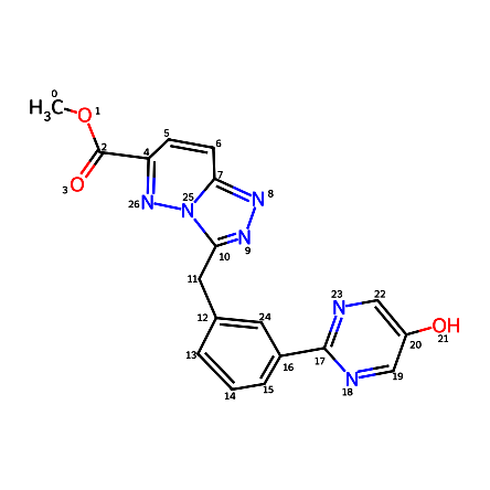 COC(=O)c1ccc2nnc(Cc3cccc(-c4ncc(O)cn4)c3)n2n1